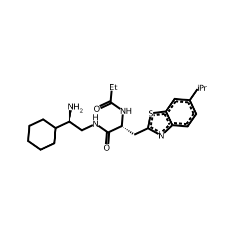 CCC(=O)N[C@H](Cc1nc2ccc(C(C)C)cc2s1)C(=O)NC[C@H](N)C1CCCCC1